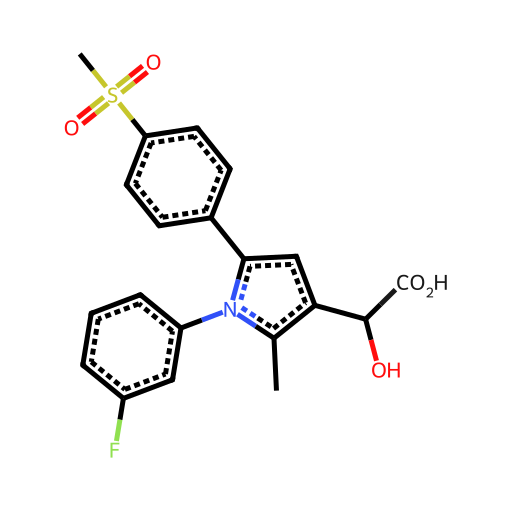 Cc1c(C(O)C(=O)O)cc(-c2ccc(S(C)(=O)=O)cc2)n1-c1cccc(F)c1